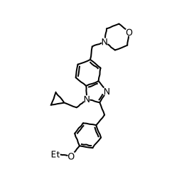 CCOc1ccc(Cc2nc3cc(CN4CCOCC4)ccc3n2CC2CC2)cc1